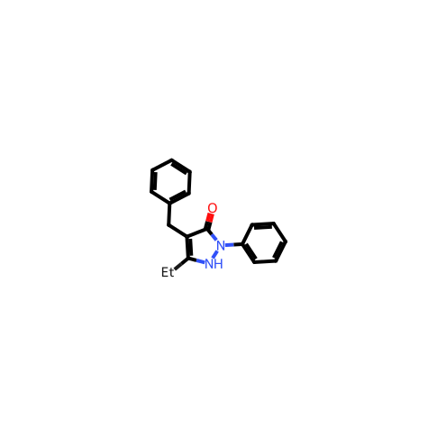 CCc1[nH]n(-c2ccccc2)c(=O)c1Cc1ccccc1